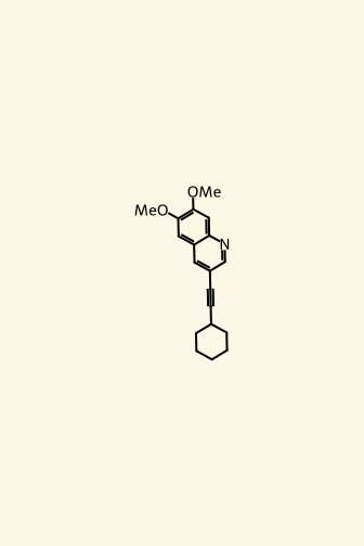 COc1cc2cc(C#CC3CCCCC3)cnc2cc1OC